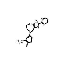 Cc1cc(N2CCCc3oc(-c4ncccn4)nc3C2)ccc1F